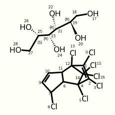 ClC1=C(Cl)C2(Cl)C3C(Cl)C=CC3C1(Cl)C2(Cl)Cl.OC[C@@H](O)[C@@H](O)[C@H](O)[C@@H](O)CO